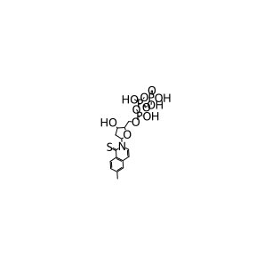 Cc1ccc2c(=S)n([C@H]3C[C@@H](O)C(COP(O)OP(=O)(O)OP(=O)(O)O)O3)ccc2c1